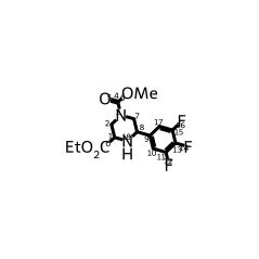 CCOC(=O)C1CN(C(=O)OC)CC(c2cc(F)c(F)c(F)c2)N1